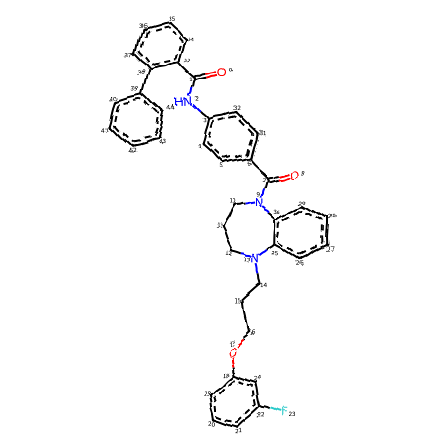 O=C(Nc1ccc(C(=O)N2CCCN(CCCOc3cccc(F)c3)c3ccccc32)cc1)c1ccccc1-c1ccccc1